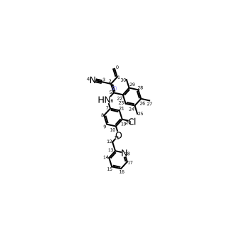 C=C/C(C#N)=C(/Nc1ccc(OCc2ccccn2)c(Cl)c1)c1cc(C)c(C)cc1C